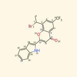 CC(Br)c1cc(C(F)(F)F)cc2c(=O)cc(-c3cc4ccccc4[nH]3)oc12